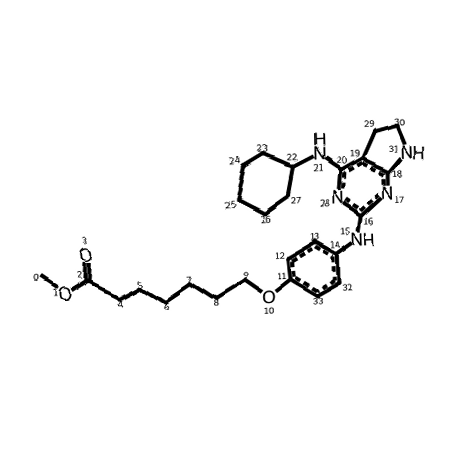 COC(=O)CCCCCCOc1ccc(Nc2nc3c(c(NC4CCCCC4)n2)CCN3)cc1